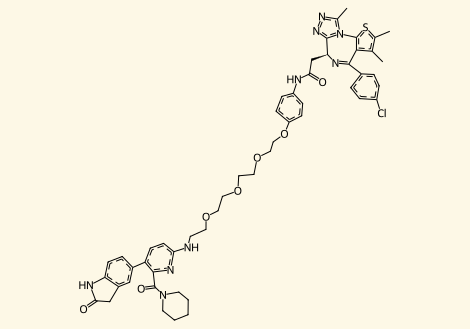 Cc1sc2c(c1C)C(c1ccc(Cl)cc1)=N[C@@H](CC(=O)Nc1ccc(OCCOCCOCCOCCNc3ccc(-c4ccc5c(c4)CC(=O)N5)c(C(=O)N4CCCCC4)n3)cc1)c1nnc(C)n1-2